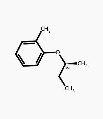 CC[C@H](C)Oc1ccccc1C